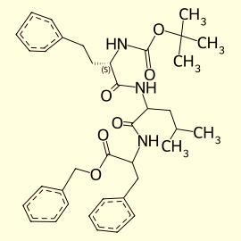 CC(C)CC(NC(=O)[C@H](CCc1ccccc1)NC(=O)OC(C)(C)C)C(=O)NC(Cc1ccccc1)C(=O)OCc1ccccc1